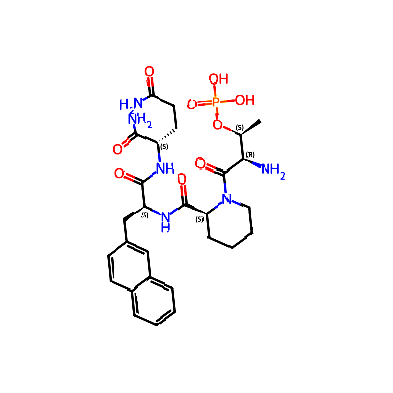 C[C@H](OP(=O)(O)O)[C@@H](N)C(=O)N1CCCC[C@H]1C(=O)N[C@@H](Cc1ccc2ccccc2c1)C(=O)N[C@@H](CCC(N)=O)C(N)=O